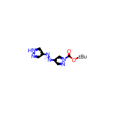 CC(C)(C)OC(=O)n1cc(/N=N/c2cn[nH]c2)cn1